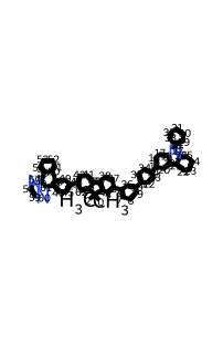 CC1(C)c2cc(-c3cccc(-c4ccc(-c5ccc6c(c5)c5ccccc5n6-c5ccccc5)cc4)c3)ccc2-c2ccc(-c3ccc4c(c3)c3ccccc3c3nccnc43)cc21